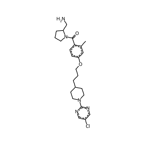 Cc1cc(OCCCC2CCN(c3ncc(Cl)cn3)CC2)ccc1C(=O)N1CCCC1CN